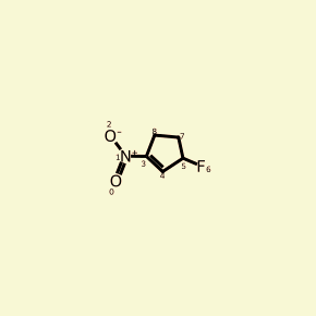 O=[N+]([O-])C1=CC(F)CC1